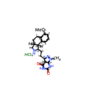 COc1cccc2c1CC[C@H]1CNC(CCc3nn(C)c4[nH]c(=O)[nH]c(=O)c34)[C@@H]21.Cl